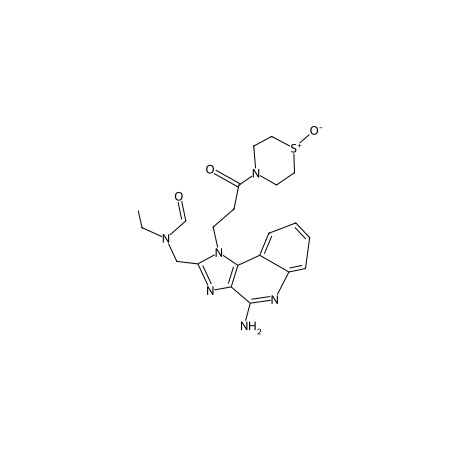 CCN(C=O)Cc1nc2c(N)nc3ccccc3c2n1CCC(=O)N1CC[S+]([O-])CC1